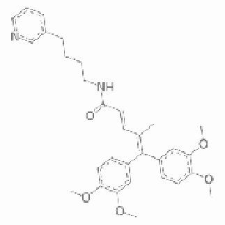 COc1ccc(C(=C(C)/C=C/C(=O)NCCCCc2cccnc2)c2ccc(OC)c(OC)c2)cc1OC